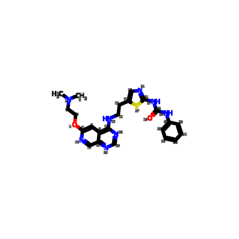 CN(C)CCOc1cc2c(NCCc3cnc(NC(=O)Nc4ccccc4)s3)ncnc2cn1